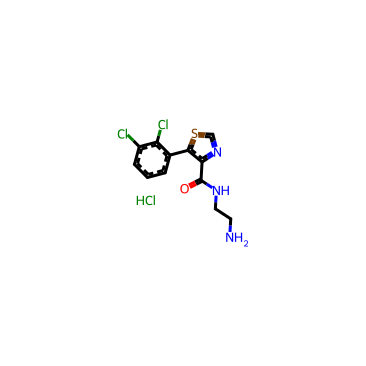 Cl.NCCNC(=O)c1ncsc1-c1cccc(Cl)c1Cl